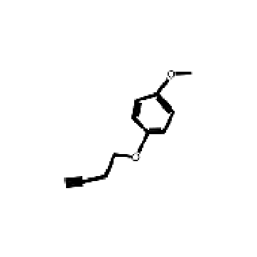 C#CCCOc1ccc(OC)cc1